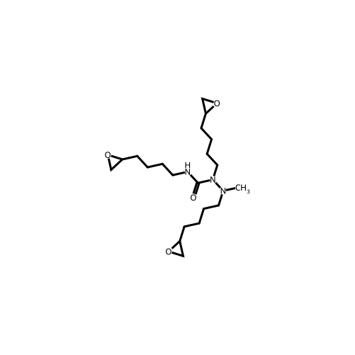 CN(CCCCC1CO1)N(CCCCC1CO1)C(=O)NCCCCC1CO1